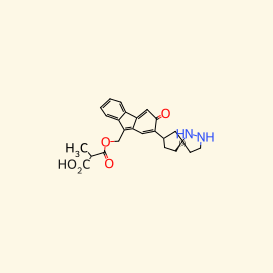 CC(C(=O)O)C(=O)OCC1=C2C=C(C3CC[C@@]4(CCNN4)C3)C(=O)C=C2c2ccccc21